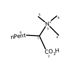 CCCCCC(C(=O)O)[N+](C)(C)C